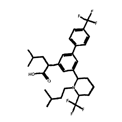 CC(C)CCN1C(c2cc(-c3ccc(C(F)(F)F)cc3)cc(C(CC(C)C)C(=O)O)c2)CCCC1C(F)(F)F